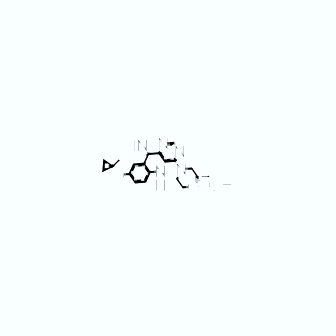 CC1(Oc2ccc(N)c(C(=N)c3cc(N4CCO[C@H](CO)C4)ncn3)c2)CC1